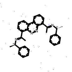 C/C(=N\[C@H](C)c1ccccc1)c1cccc2c1nnc1c(/C(C)=N/[C@H](C)c3ccccc3)cccc12